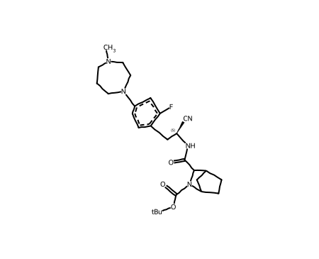 CN1CCCN(c2ccc(C[C@@H](C#N)NC(=O)C3C4CCC(C4)N3C(=O)OC(C)(C)C)c(F)c2)CC1